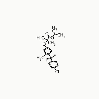 Cc1cc(OC(C)(C)C(=O)OC(C)C)ccc1C(F)(F)c1ccc(Cl)cc1